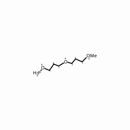 COCCCOCCCOP